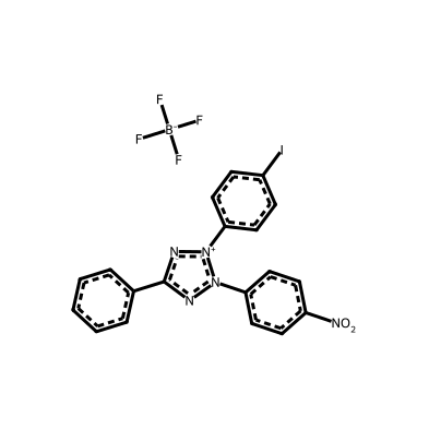 F[B-](F)(F)F.O=[N+]([O-])c1ccc(-n2nc(-c3ccccc3)n[n+]2-c2ccc(I)cc2)cc1